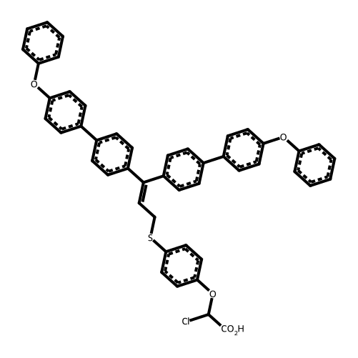 O=C(O)C(Cl)Oc1ccc(SCC=C(c2ccc(-c3ccc(Oc4ccccc4)cc3)cc2)c2ccc(-c3ccc(Oc4ccccc4)cc3)cc2)cc1